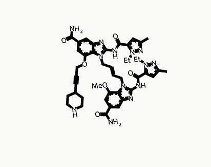 CCn1nc(C)cc1C(=O)Nc1nc2cc(C(N)=O)cc(OC)c2n1CC=CCn1c(NC(=O)c2cc(C)nn2CC)nc2cc(C(N)=O)cc(OCC#CC3CCNCC3)c21